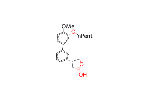 CCCCCOc1cc(-c2cccc([C@@H]3COB(O)C3)c2)ccc1OC